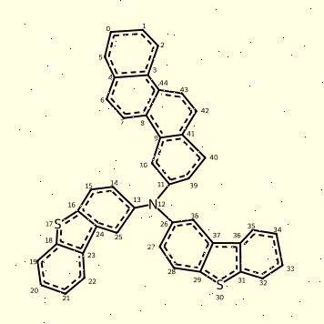 c1ccc2c(c1)ccc1c3cc(N(c4ccc5sc6ccccc6c5c4)c4ccc5sc6ccccc6c5c4)ccc3ccc21